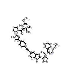 COO/C=N\[C@H](C(=O)N1CCC[C@H]1c1nc2cc(C#Cc3ccc(-c4c[nH]c([C@@H]5CCCN5C(=O)[C@@H](NC(=O)OC)C(C)C)n4)cc3)ccc2[nH]1)c1ccccc1